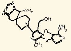 Cc1nc(N2CCC3(CC2)Cc2ncsc2[C@H]3N)c(CO)nc1Sc1ccnc(N)c1Cl